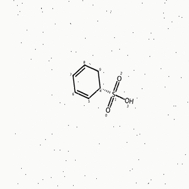 O=S(=O)(O)[C@@H]1C=CC=[C]C1